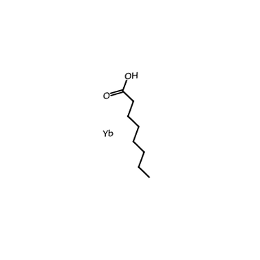 CCCCCCCC(=O)O.[Yb]